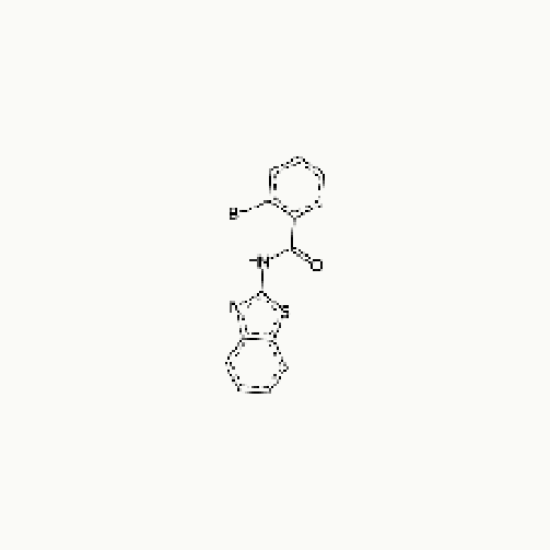 O=C(Nc1nc2ccccc2s1)c1ccccc1Br